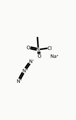 CS(=O)(=O)Cl.[N-]=[N+]=[N-].[Na+]